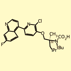 CC(C)C[C@@](C)(COc1ccc(-c2ccnc3cc(F)ccc23)nc1Cl)N(C(=O)O)C(C)(C)C